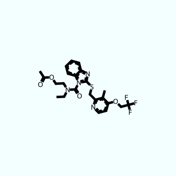 CCN(CCOC(C)=O)C(=O)n1c(SCc2nccc(OCC(F)(F)F)c2C)nc2ccccc21